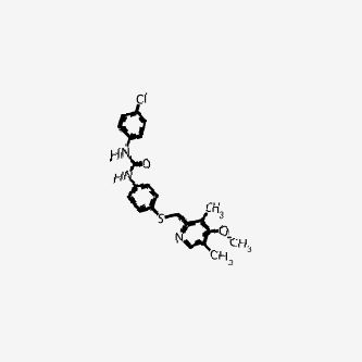 COc1c(C)cnc(CSc2ccc(NC(=O)Nc3ccc(Cl)cc3)cc2)c1C